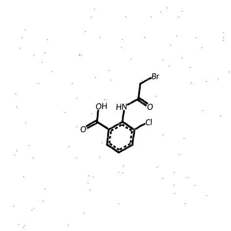 O=C(CBr)Nc1c(Cl)cccc1C(=O)O